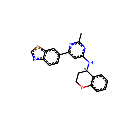 Cc1nc(N[C@@H]2CCOc3ccccc32)cc(-c2ccc3ncsc3c2)n1